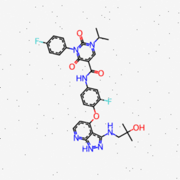 CC(C)n1cc(C(=O)Nc2ccc(Oc3ccnc4[nH]nc(NCC(C)(C)O)c34)c(F)c2)c(=O)n(-c2ccc(F)cc2)c1=O